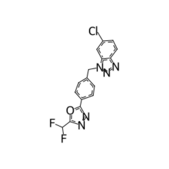 FC(F)c1nnc(-c2ccc(Cn3nnc4ccc(Cl)cc43)cc2)o1